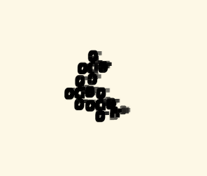 [O-][Cl+3]([O-])([O-])[O-].[O-][Cl+3]([O-])([O-])[O-].[O-][Cl+3]([O-])([O-])[O-].[Pr+3]